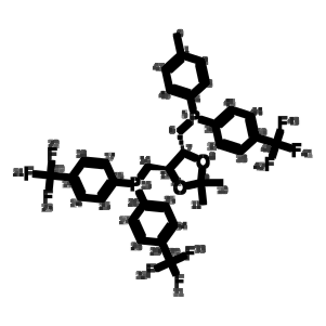 Cc1ccc(P(C[C@@H]2OC(C)(C)O[C@H]2CP(c2ccc(C(F)(F)F)cc2)c2ccc(C(F)(F)F)cc2)c2ccc(C(F)(F)F)cc2)cc1